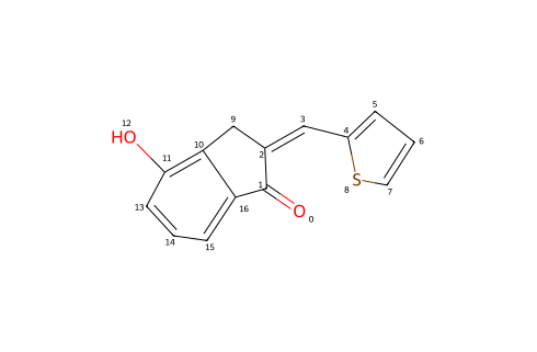 O=C1C(=Cc2cccs2)Cc2c(O)cccc21